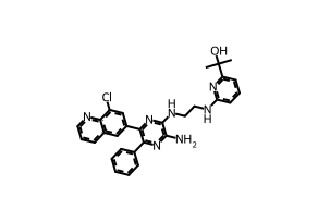 CC(C)(O)c1cccc(NCCNc2nc(-c3cc(Cl)c4ncccc4c3)c(-c3ccccc3)nc2N)n1